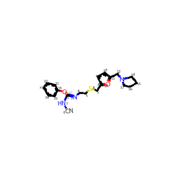 N#CN/C(=N/CCSCc1ccc(CN2CCCC2)o1)Oc1ccccc1